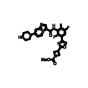 COC(=O)N1CC(c2nc(-c3cc(F)c(C)c(NC(=O)c4cnc5cc(N6CCNCC6)ccn45)c3F)no2)C1